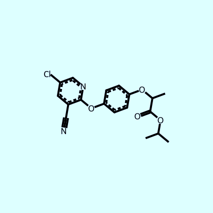 CC(C)OC(=O)C(C)Oc1ccc(Oc2ncc(Cl)cc2C#N)cc1